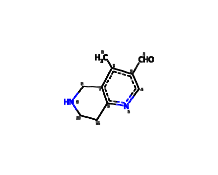 Cc1c(C=O)cnc2c1CNCC2